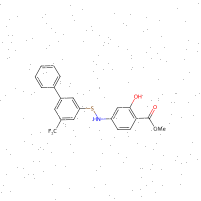 COC(=O)c1ccc(NSc2cc(-c3ccccc3)cc(C(F)(F)F)c2)cc1O